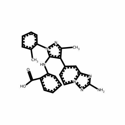 Cc1ccccc1-n1nc(C)c(-c2ccn3nc(N)nc3c2)c1Nc1ccccc1C(=O)O